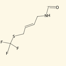 O=[C]NC/C=C/CSC(F)(F)F